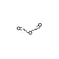 O=C1c2ccccc2C(=O)N1C=CCCc1cc(O)cc(CCC=CN2C(=O)c3ccccc3C2=O)c1